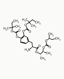 CCC(C)OC(=O)O[C@@H](C)[C@H](C)OC(=O)[C@@H](N)Cc1ccc(OC(=O)OC(C)(C)CC)c(OC(=O)OC(C)(C)CC)c1